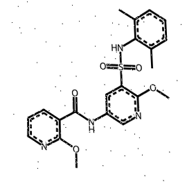 COc1ncccc1C(=O)Nc1cnc(OC)c(S(=O)(=O)Nc2c(C)cccc2C)c1